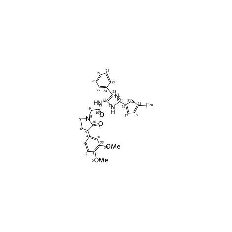 COc1ccc(C2CCN(CC(=O)Nc3[nH]c(-c4ccc(F)s4)nc3-c3ccccc3)C2=O)cc1OC